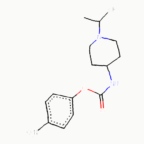 CC(N1CCC(NC(=O)Oc2ccc([N+](=O)[O-])cc2)CC1)C(F)(F)F